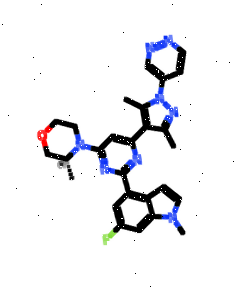 Cc1nn(-c2ccnnc2)c(C)c1-c1cc(N2CCOC[C@H]2C)nc(-c2cc(F)cc3c2ccn3C)n1